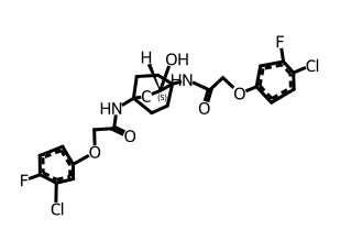 O=C(COc1ccc(F)c(Cl)c1)NC12CCC(NC(=O)COc3ccc(Cl)c(F)c3)(CC1)[C@@H](O)C2